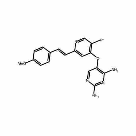 COc1ccc(/C=C/c2cc(Oc3cnc(N)nc3N)c(C(C)C)cn2)cc1